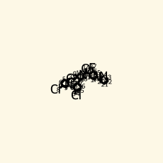 CC1(COc2ccc(Cl)cn2)CN(C(=O)C2CCN(c3ccccn3)CC2F)CC1c1ccc(Cl)cc1